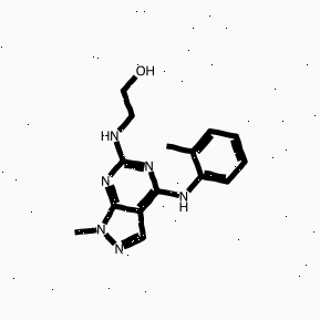 Cc1ccccc1Nc1nc(NCCO)nc2c1cnn2C